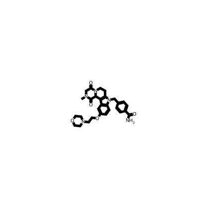 CN1CC(=O)N2CCc3c(c4cc(OCCN5CCOCC5)ccc4n3Cc3ccc(C(N)=O)cc3)C2C1=O